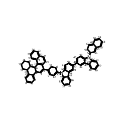 C1=C(C2=CC3c4ccccc4C4CCCCC4C3c3c2ccc2ccccc32)CCC(n2c3ccccc3c3cc(-c4ccc5c(c4)c4ccccc4n5C4C=c5ccccc5=CC4)ccc32)=C1